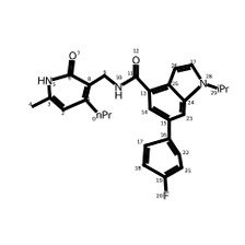 CCCc1cc(C)[nH]c(=O)c1CNC(=O)c1cc(-c2ccc(F)cc2)cc2c1ccn2C(C)C